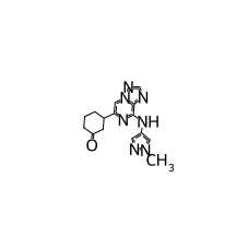 Cn1cc(Nc2nc(C3CCCC(=O)C3)cn3ncnc23)cn1